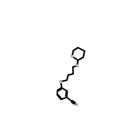 N#Cc1cccc(OCCCCOC2CCCCO2)c1